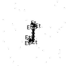 CCO[Si](C)(OCC)C(CC)SSSSSSSC(CC)[Si](C)(OCC)OCC